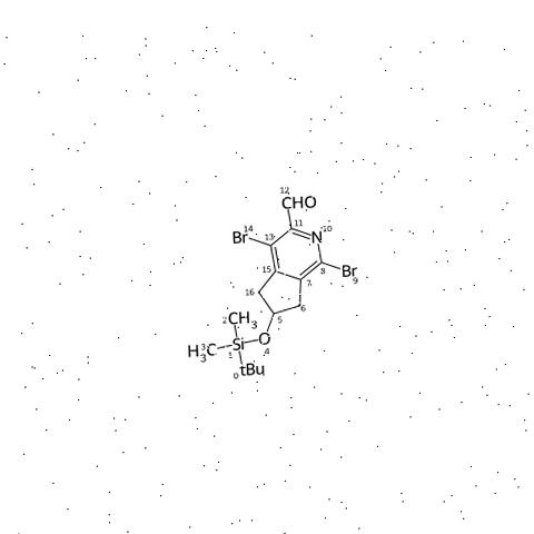 CC(C)(C)[Si](C)(C)OC1Cc2c(Br)nc(C=O)c(Br)c2C1